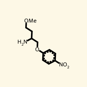 COCCC(N)COc1ccc([N+](=O)[O-])cc1